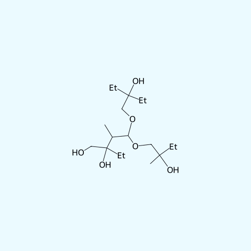 CCC(C)(O)COC(OCC(O)(CC)CC)C(C)C(O)(CC)CO